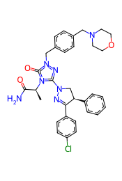 C[C@@H](C(N)=O)n1c(N2C[C@@H](c3ccccc3)C(c3ccc(Cl)cc3)=N2)nn(Cc2ccc(CN3CCOCC3)cc2)c1=O